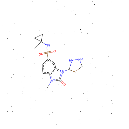 Cn1c(=O)n(C2NNCS2)c2cc(S(=O)(=O)NC3(C)CC3)ccc21